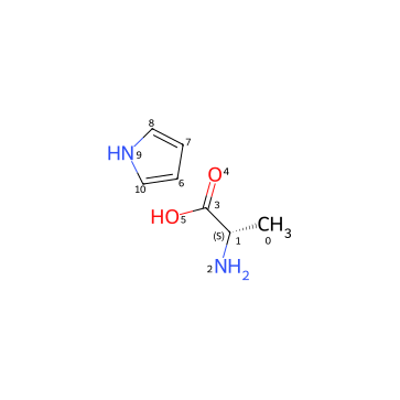 C[C@H](N)C(=O)O.c1cc[nH]c1